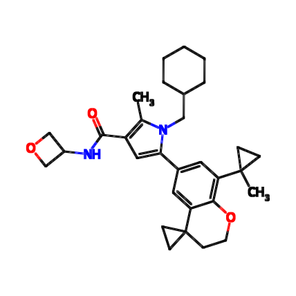 Cc1c(C(=O)NC2COC2)cc(-c2cc(C3(C)CC3)c3c(c2)C2(CCO3)CC2)n1CC1CCCCC1